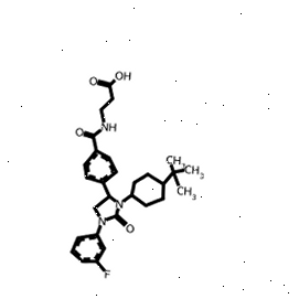 CC(C)(C)C1CCC(N2C(=O)N(c3cccc(F)c3)CC2c2ccc(C(=O)NCCC(=O)O)cc2)CC1